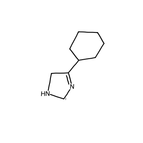 [C]1N=C(C2CCCCC2)CN1